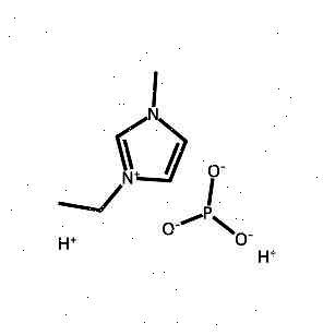 CC[n+]1ccn(C)c1.[H+].[H+].[O-]P([O-])[O-]